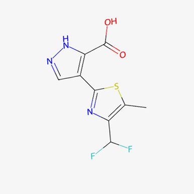 Cc1sc(-c2cn[nH]c2C(=O)O)nc1C(F)F